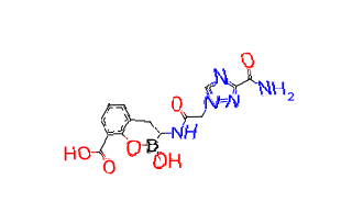 NC(=O)c1ncn(CC(=O)NC2Cc3cccc(C(=O)O)c3OB2O)n1